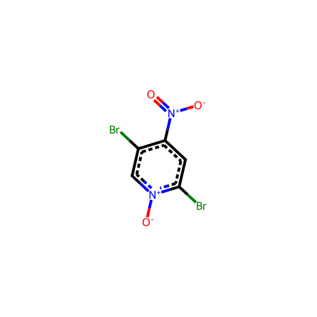 O=[N+]([O-])c1cc(Br)[n+]([O-])cc1Br